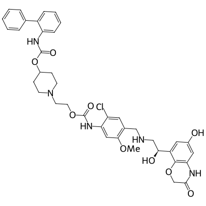 COc1cc(NC(=O)OCCN2CCC(OC(=O)Nc3ccccc3-c3ccccc3)CC2)c(Cl)cc1CNC[C@H](O)c1cc(O)cc2c1OCC(=O)N2